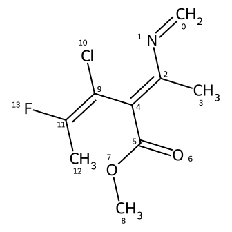 C=N/C(C)=C(C(=O)OC)\C(Cl)=C(/C)F